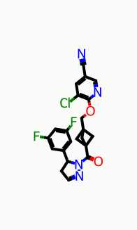 N#Cc1cnc(OCC23CC(C(=O)N4N=CCC4c4cc(F)cc(F)c4)(C2)C3)c(Cl)c1